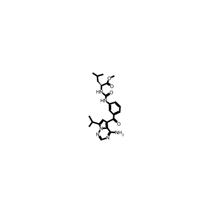 COC(=O)[C@H](CC(C)C)NC(=O)Nc1cccc(C(=O)c2cc(C(C)C)n3ncnc(N)c23)c1